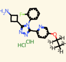 Cl.Cl.[2H]C([2H])([2H])C([2H])([2H])Oc1ccc(-c2nnc(C3CC(N)C3)n2-c2ccccc2F)nc1